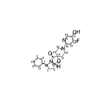 O=C1N2[C@@H](CC[C@H]2c2ccccc2)OC12CCN(c1cc(F)c(O)cn1)CC2